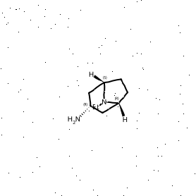 CCN1[C@@H]2CC[C@H]1C[C@@H](N)C2